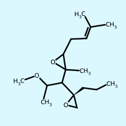 CCC[C@@]1(C(C(C)OC)C2(C)OC2CC=C(C)C)CO1